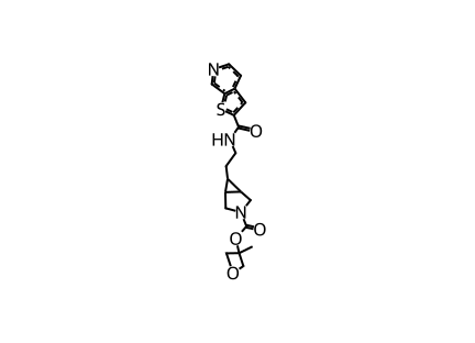 CC1(OC(=O)N2CC3C(CCNC(=O)c4cc5ccncc5s4)C3C2)COC1